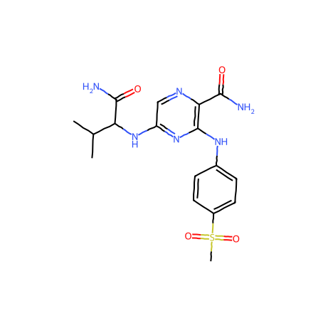 CC(C)C(Nc1cnc(C(N)=O)c(Nc2ccc(S(C)(=O)=O)cc2)n1)C(N)=O